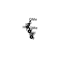 COCCOc1cnc2[nH]cc(C(OC)c3c(F)ccc(NS(=O)(=O)c4cccc(F)c4)c3F)c2c1